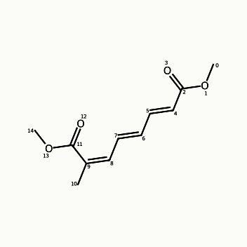 COC(=O)C=CC=CC=C(C)C(=O)OC